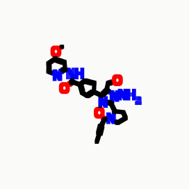 CC#CC(=O)N1CCCC1c1nc(-c2ccc(C(=O)Nc3cc(OC)ccn3)cc2)c(C=O)n1N